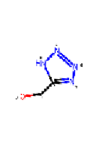 [O]Cc1nnn[nH]1